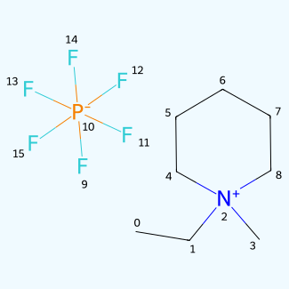 CC[N+]1(C)CCCCC1.F[P-](F)(F)(F)(F)F